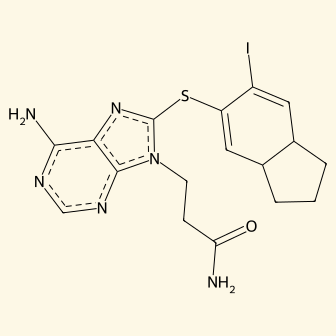 NC(=O)CCn1c(SC2=CC3CCCC3C=C2I)nc2c(N)ncnc21